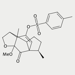 COC12OCC3C4CC[C@@H](C)C4(C=C(OS(=O)(=O)c4ccc(C)cc4)C31C)C2=O